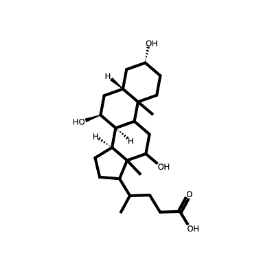 CC(CCC(=O)O)C1CC[C@H]2[C@@H]3C(CC(O)C12C)C1(C)CC[C@@H](O)C[C@H]1C[C@@H]3O